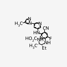 CC[C@@H](Nc1nc(Nc2cncc(-n3cc(C)cn3)c2)c(C#N)cc1F)[C@H](C)NC(=O)O